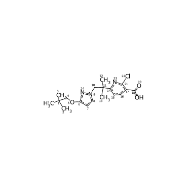 CC(C)(C)COc1ccn(CC(C)(C)c2ccc(C(=O)O)c(Cl)n2)n1